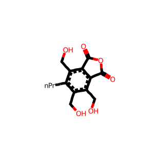 CCCc1c(CO)c(CO)c2c(c1CO)C(=O)OC2=O